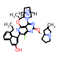 C=C1CN2CCC[C@@]2(COc2nc3c4c(nc(-c5cc(O)cc6cccc(CC)c56)c(F)c4n2)O[C@@H](C)[C@@H]2[C@@H]4CC[C@H](CN32)N4)C1